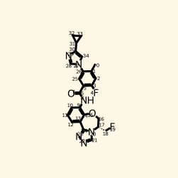 Cc1cc(F)c(C(=O)Nc2cccc3c2OC[C@H](CF)n2cnnc2-3)cc1-n1cnc(C2CC2)c1